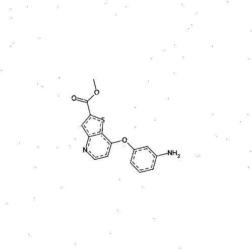 COC(=O)c1cc2nccc(Oc3cccc(N)c3)c2s1